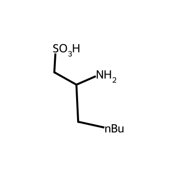 CCCCCC(N)CS(=O)(=O)O